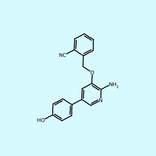 N#Cc1ccccc1COc1cc(-c2ccc(O)cc2)cnc1N